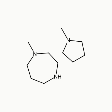 CN1CCCC1.CN1CCCNCC1